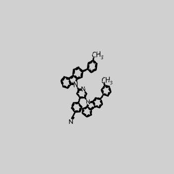 Cc1cccc(-c2ccc3c4ccccc4n(-c4cc(-c5ccc(C#N)cc5)c(-n5c6ccccc6c6ccc(-c7cccc(C)c7)cc65)cn4)c3c2)c1